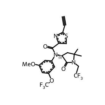 C#Cc1nc(C(=O)N(c2cc(OC)cc(OC(F)(F)F)c2)[C@H]2CC(C)(C)N(CC(F)(F)F)C2=O)cs1